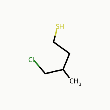 CC(CCl)CCS